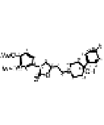 COc1ccc(N2CC(CCN3CCC(O)(c4ccc(F)cc4)CC3)OC2=O)cc1OC